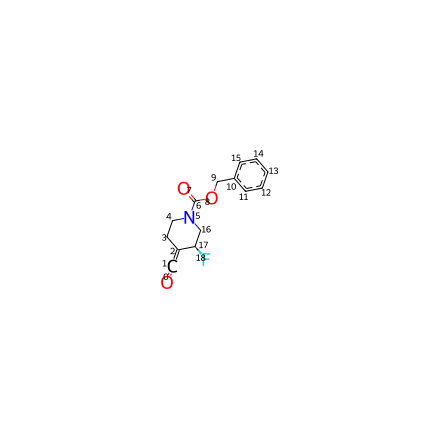 O=C=C1CCN(C(=O)OCc2ccccc2)C[C@H]1F